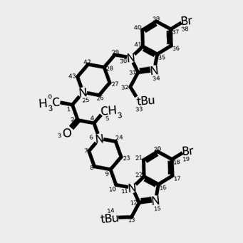 CC(C(=O)C(C)N1CCC(Cn2c(CC(C)(C)C)nc3cc(Br)ccc32)CC1)N1CCC(Cn2c(CC(C)(C)C)nc3cc(Br)ccc32)CC1